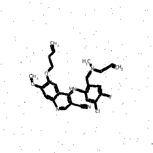 C=CCCOc1cc2c(Nc3cc(Cl)c(F)cc3CN(C)CC=C)c(C#N)cnc2cc1OC